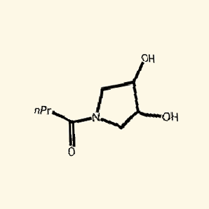 CCCC(=O)N1CC(O)C(O)C1